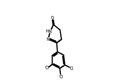 O=C1CCC(c2cc(Cl)c(Cl)c(Cl)c2)=NN1